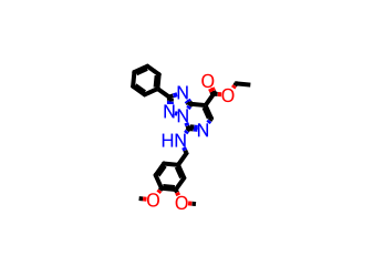 CCOC(=O)c1cnc(NCc2ccc(OC)c(OC)c2)n2nc(-c3ccccc3)nc12